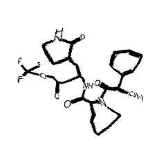 O=C1NCCC1CC(NC(=O)C1CCCCN1C(=O)C(O)c1ccccc1)C(=O)COC(F)(F)F